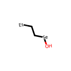 CCCC[Se]O